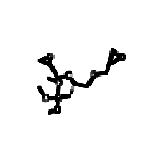 CO[Si](C[C@@H](COCC1CO1)OCC1CO1)(OC)OC